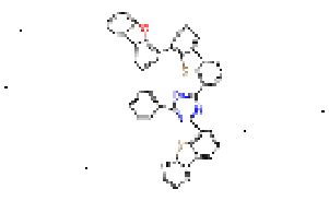 c1ccc(-c2nc(-c3cccc4c3sc3ccccc34)nc(-c3cccc4c3sc3c(-c5cccc6c5oc5ccccc56)cccc34)n2)cc1